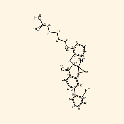 [2H]C1(N(Cc2ccccc2OCCCCCC(=O)O)C(=O)c2ccc(-c3ccccc3F)cc2)CC1